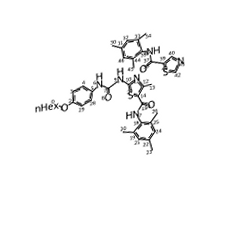 CCCCCCOc1ccc(NC(=O)Nc2nc(C)c(C(=O)Nc3c(C)cc(C)cc3C)s2)cc1.Cc1cc(C)c(NC(=O)c2cncs2)c(C)c1